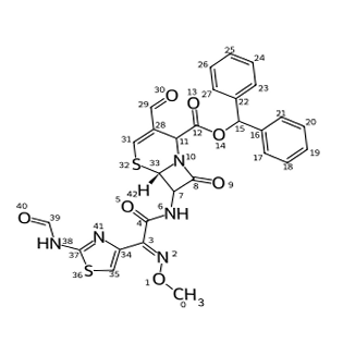 CON=C(C(=O)NC1C(=O)N2C(C(=O)OC(c3ccccc3)c3ccccc3)C(C=O)=CS[C@@H]12)c1csc(NC=O)n1